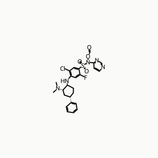 CN(C)[C@H]1C[C@@H](c2ccccc2)CC[C@@H]1Nc1cc(F)c(S(=O)(=O)N(OC=O)c2ccncn2)cc1Cl